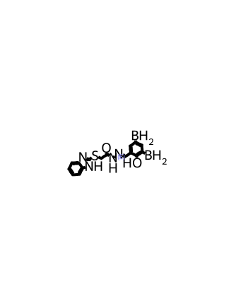 Bc1cc(B)c(O)c(/C=N/NC(=O)CSc2nc3ccccc3[nH]2)c1